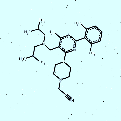 Cc1cccc(C)c1-c1nc(C)c(CN(CC(C)C)CC(C)C)c(N2CCN(CC#N)CC2)n1